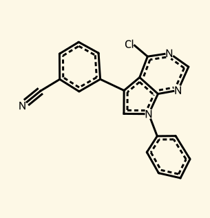 N#Cc1cccc(-c2cn(-c3ccccc3)c3ncnc(Cl)c23)c1